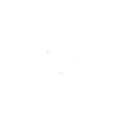 Cc1ccc(OC(C)[n+]2ccc(N(C)C)cc2)cc1